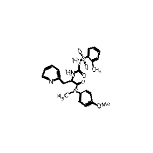 COc1ccc(N(C)C(=O)C(Cc2ccccn2)NC(=O)NS(=O)(=O)c2ccccc2C)cc1